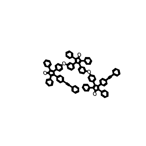 O=C1C(c2ccccc2)=C(c2ccc(C#Cc3ccccc3)cc2)C(c2ccc(Oc3cccc(C4=C(c5ccccc5)C(=O)C(c5ccccc5)=C4c4cccc(Oc5ccc(C6=C(c7ccccc7)C(=O)C(c7ccccc7)=C6c6ccc(C#Cc7ccccc7)cc6)cc5)c4)c3)cc2)=C1c1ccccc1